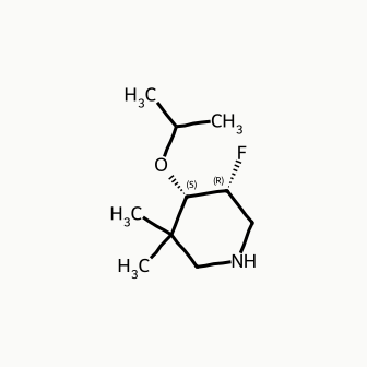 CC(C)O[C@@H]1[C@H](F)CNCC1(C)C